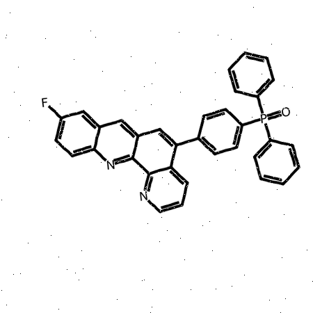 O=P(c1ccccc1)(c1ccccc1)c1ccc(-c2cc3cc4cc(F)ccc4nc3c3ncccc23)cc1